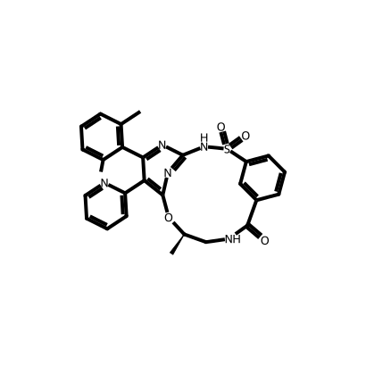 Cc1cccc(C)c1-c1nc2nc(c1-c1ccccn1)O[C@H](C)CNC(=O)c1cccc(c1)S(=O)(=O)N2